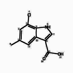 Cc1cc(Cl)c2[nH]cc(C(=O)O)c2c1